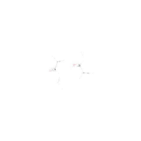 CCOC(=O)C(C)O.COC(=O)C(C)O